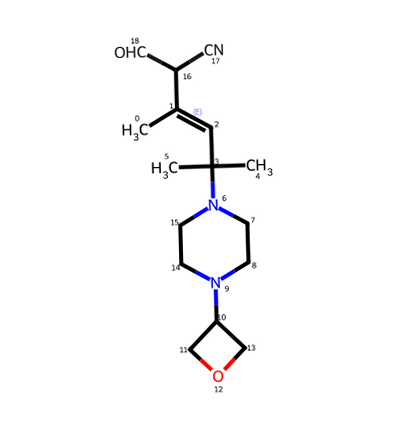 C/C(=C\C(C)(C)N1CCN(C2COC2)CC1)C(C#N)C=O